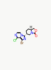 O=C1OC[C@@H]2CC[C@@H](c3nc(Br)c4c(Cl)nccn34)CN12